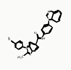 Cc1nc2ccc(C(=O)Nc3ccc(-n4cnc5ccccc54)cc3)cc2n1-c1ccc(F)cc1